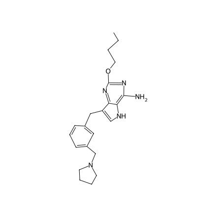 CCCCOc1nc(N)c2[nH]cc(Cc3cccc(CN4CCCC4)c3)c2n1